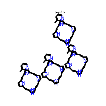 Cc1cccnc1-n1c2ccc1cc1nc(cc3ccc(cc4nc(c2)C=C4)[nH]3)C=C1.Cc1cccnc1-n1c2ccc1cc1nc(cc3ccc(cc4nc(c2)C=C4)[nH]3)C=C1.Cc1cccnc1-n1c2ccc1cc1nc(cc3ccc(cc4nc(c2)C=C4)[nH]3)C=C1.Cc1cccnc1-n1c2ccc1cc1nc(cc3ccc(cc4nc(c2)C=C4)[nH]3)C=C1.[Fe+3]